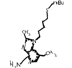 CCCCSCCCCCn1c(C)nc2c(N)ncc(C)c21